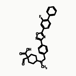 CN(Cc1ccc(-c2noc(-c3ccc(-c4ccccc4)c(F)c3)n2)cc1)C1CCC(C=O)(C(=O)O)CC1